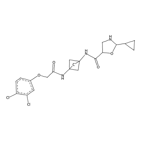 O=C(COc1ccc(Cl)c(Cl)c1)NC12CC(NC(=O)C3CNC(C4CC4)O3)(C1)C2